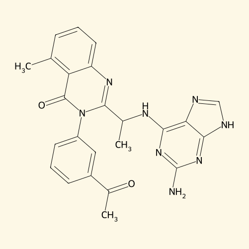 CC(=O)c1cccc(-n2c(C(C)Nc3nc(N)nc4[nH]cnc34)nc3cccc(C)c3c2=O)c1